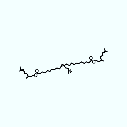 CC(C)=CCCC(C)CCOC(=O)CCCCCCCCCCC1(CCN(C)C)CC1CCCCCCCCCC(=O)OCCC(C)CCC=C(C)C